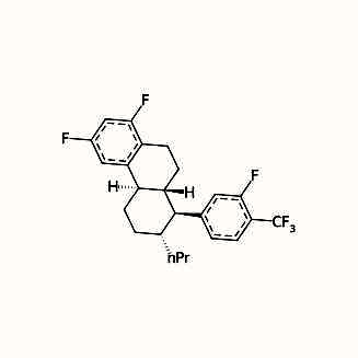 CCC[C@@H]1CC[C@H]2c3cc(F)cc(F)c3CC[C@@H]2[C@H]1c1ccc(C(F)(F)F)c(F)c1